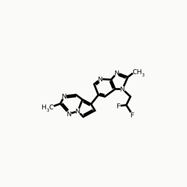 Cc1ncc2c(-c3cnc4nc(C)n(CC(F)F)c4c3)ccn2n1